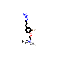 CN(C)CCOc1ccc(CCCN=[N+]=[N-])cc1Br